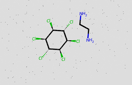 Cl[C@H]1[C@H](Cl)[C@@H](Cl)[C@@H](Cl)[C@H](Cl)[C@H]1Cl.NCCN